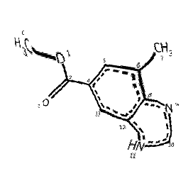 COC(=O)c1cc(C)c2nc[nH]c2c1